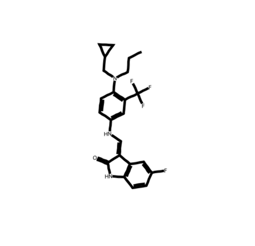 CCCN(CC1CC1)c1ccc(NC=C2C(=O)Nc3ccc(F)cc32)cc1C(F)(F)F